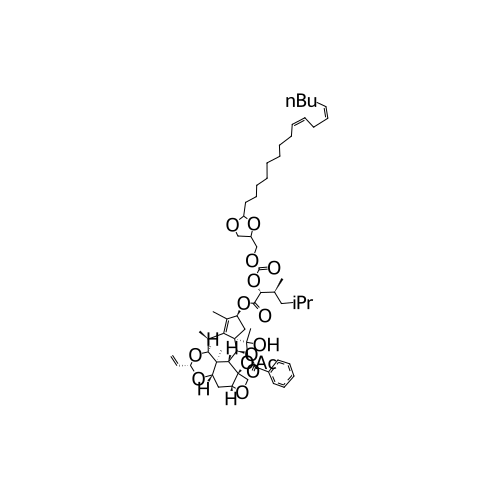 C=C[C@H]1O[C@H]2C[C@H]3OC[C@@]3(OC(C)=O)[C@H]3[C@H](OC(=O)c4ccccc4)[C@]4(C(C)(C)O)C[C@H](OC(=O)[C@H](OC(=O)OCC5COC(CCCCCCCC/C=C\C/C=C\CCCC)O5)[C@@H](C)CC(C)C)C(C)=C4[C@H](C)[C@H](O1)[C@]23C